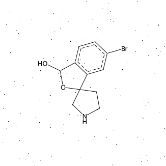 OC1OC2(CCNC2)c2cc(Br)ccc21